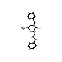 C[C@H]1CN(Cc2ccccc2)C(=O)[C@H](COCc2ccccc2)N1